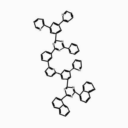 c1ccc(-c2nc(-c3cc(-c4ccccn4)cc(-c4ccccn4)c3)nc(-c3cccc(-c4cccc(-c5cc(-c6ccccn6)cc(-c6nc(-c7cccc8ccccc78)nc(-c7cccc8ccccc78)n6)c5)n4)c3)n2)cc1